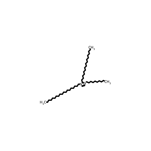 CCCCCCCCCCCCCCCCCCCn1cc[n+](CCCCCCCCCC)c1CCCCCCCCCCCCCCCCC